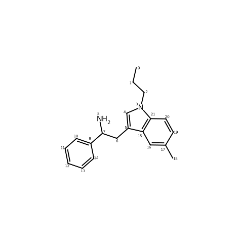 CCCn1cc(CC(N)c2ccccc2)c2cc(C)ccc21